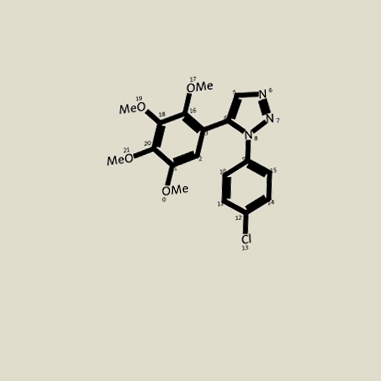 COc1cc(-c2cnnn2-c2ccc(Cl)cc2)c(OC)c(OC)c1OC